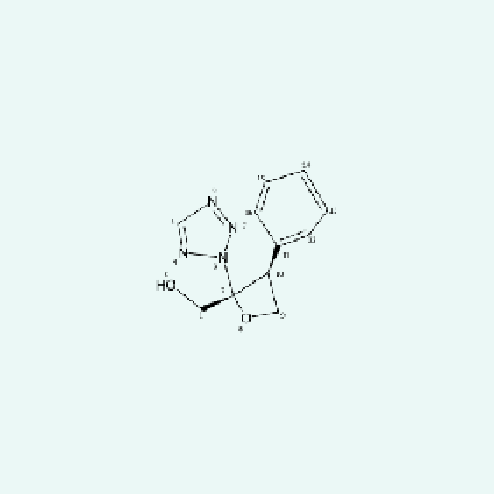 OC[C@]1(n2ncnn2)OC[C@@H]1c1ccccc1